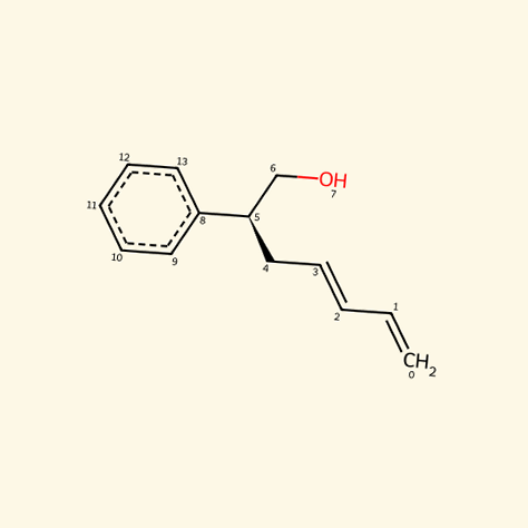 C=CC=CC[C@H](CO)c1ccccc1